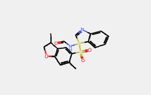 Cc1cc2c(cc1S(=O)(=O)S1(NC=O)C=Nc3ccccc31)C(C)CO2